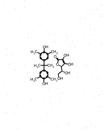 Cc1cc(C(C)(C)c2cc(C)c(O)c(C)c2)cc(C)c1O.O=C1O[C@H]([C@@H](O)CO)C(O)=C1O